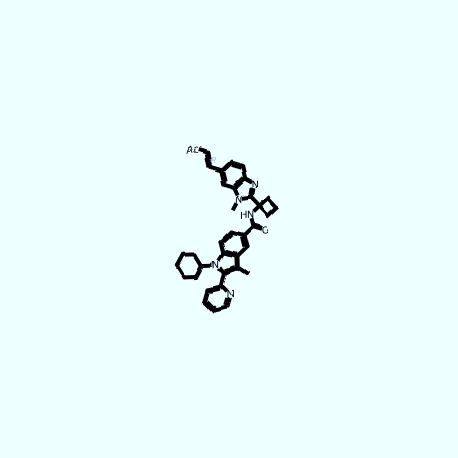 CC(=O)/C=C/c1ccc2nc(C3(NC(=O)c4ccc5c(c4)c(C)c(-c4ccccn4)n5C4CCCCC4)CCC3)n(C)c2c1